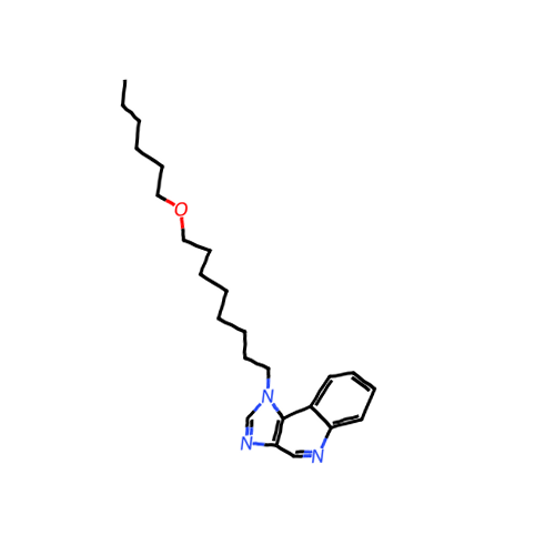 CCCCCCOCCCCCCCCn1cnc2cnc3ccccc3c21